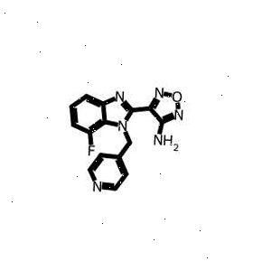 Nc1nonc1-c1nc2cccc(F)c2n1Cc1ccncc1